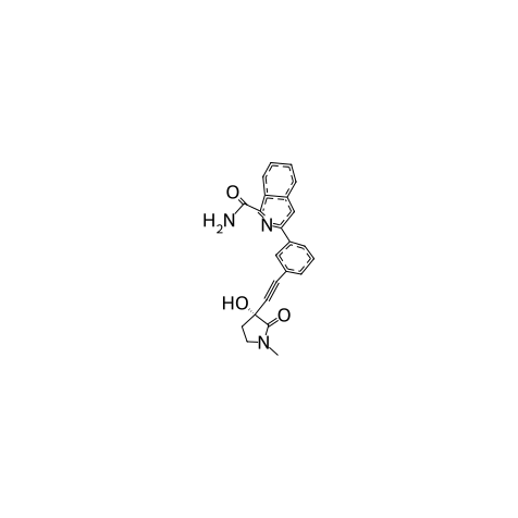 CN1CC[C@@](O)(C#Cc2cccc(-c3cc4ccccc4c(C(N)=O)n3)c2)C1=O